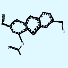 C=Cc1cc(OC(C)=O)c2cc3cc(CCl)ccc3cc2c1